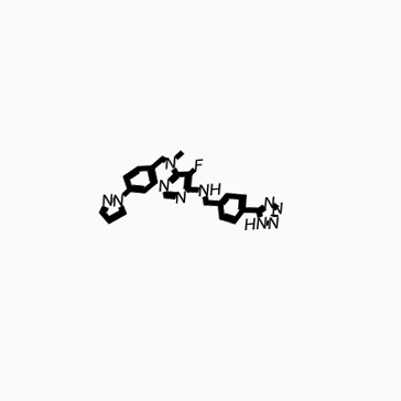 CN(Cc1ccc(-n2cccn2)cc1)c1ncnc(NCc2ccc(-c3nnn[nH]3)cc2)c1F